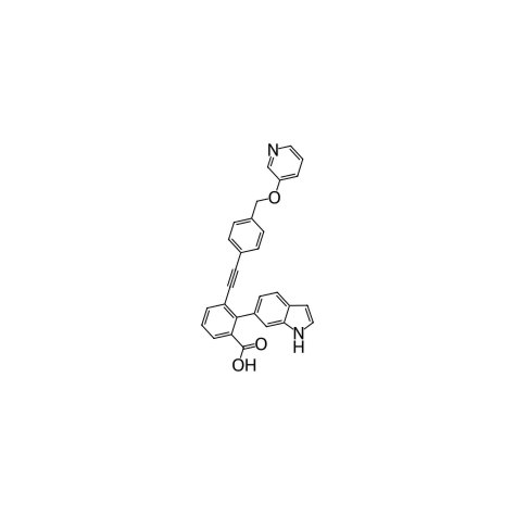 O=C(O)c1cccc(C#Cc2ccc(COc3cccnc3)cc2)c1-c1ccc2cc[nH]c2c1